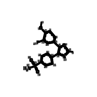 COc1ccc(-c2oc(C)nc2-c2ccc(S(N)(=O)=O)cc2)cc1F